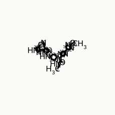 CCNC(=O)N(c1cnc(-c2cnc(OC)nc2)cn1)[C@H]1CC[C@H](Nc2ncc(C#N)c(-c3n[nH]cc3Cl)n2)CC1